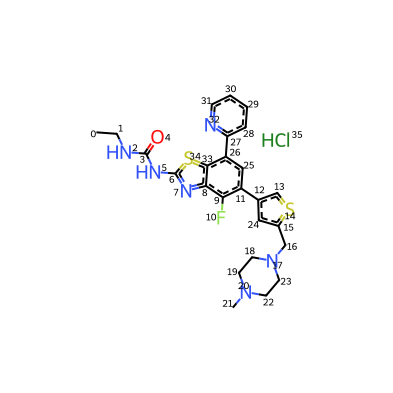 CCNC(=O)Nc1nc2c(F)c(-c3csc(CN4CCN(C)CC4)c3)cc(-c3ccccn3)c2s1.Cl